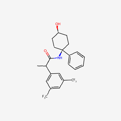 CC(C(=O)N[C@]1(c2ccccc2)CC[C@H](O)CC1)c1cc(C(F)(F)F)cc(C(F)(F)F)c1